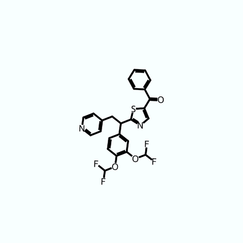 O=C(c1ccccc1)c1cnc(C(Cc2ccncc2)c2ccc(OC(F)F)c(OC(F)F)c2)s1